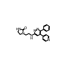 O=C1NCCN1CCNc1cc(-c2ccncc2)c(-c2ccccc2)nn1